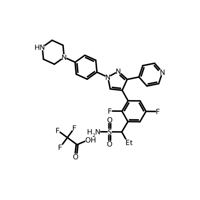 CCC(c1cc(F)cc(-c2cn(-c3ccc(N4CCNCC4)cc3)nc2-c2ccncc2)c1F)S(N)(=O)=O.O=C(O)C(F)(F)F